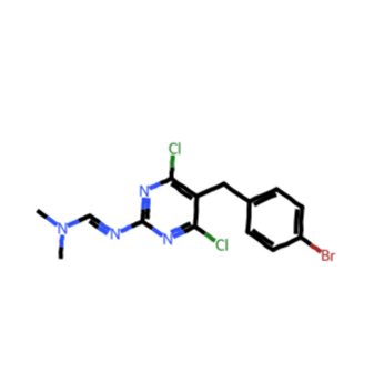 CN(C)C=Nc1nc(Cl)c(Cc2ccc(Br)cc2)c(Cl)n1